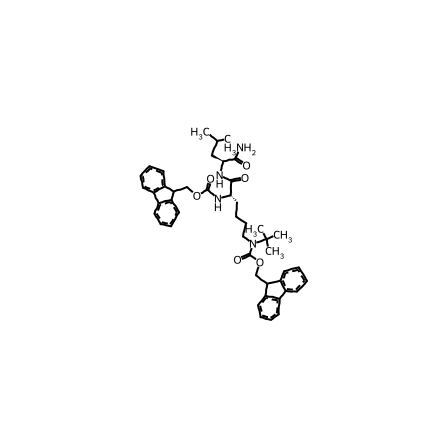 CC(C)C[C@H](NC(=O)[C@H](CCCCN(C(=O)OCC1c2ccccc2-c2ccccc21)C(C)(C)C)NC(=O)OCC1c2ccccc2-c2ccccc21)C(N)=O